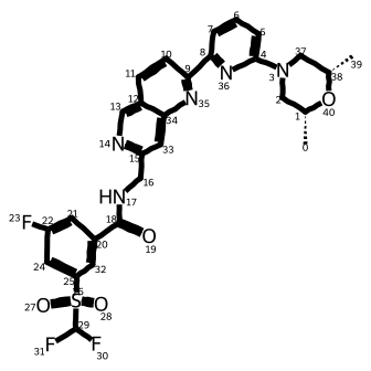 C[C@@H]1CN(c2cccc(-c3ccc4cnc(CNC(=O)c5cc(F)cc(S(=O)(=O)C(F)F)c5)cc4n3)n2)C[C@H](C)O1